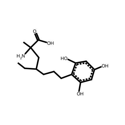 CCC(CCCc1c(O)cc(O)cc1O)CC(C)(N)C(=O)O